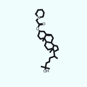 CC(CCCC(C)(C)O)C1CCC2C3CC=C4CC(OC(=O)CN5CCCCC5)CCC4(C)C3CCC12C